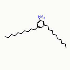 CCCCCCCCCCc1cc(N)cc(CCCCCCCCCC)c1